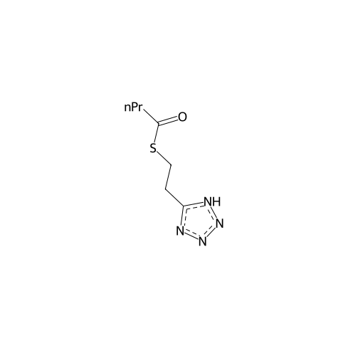 CCCC(=O)SCCc1nnn[nH]1